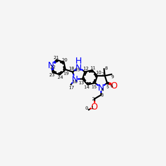 COCCN1C(=O)C(C)(C)c2cc3c(cc21)N(C)C(c1ccncc1)N3